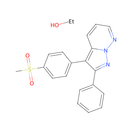 CCO.CS(=O)(=O)c1ccc(-c2c(-c3ccccc3)nn3ncccc23)cc1